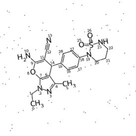 CCn1nc(C)c2c1OC(N)=C(C#N)C2c1ccc(N2CCCNS2(=O)=O)cc1